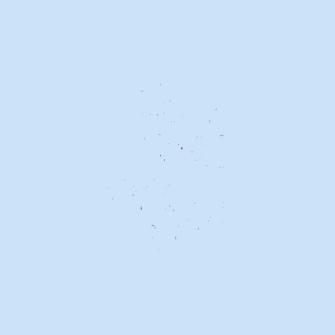 Cc1c(-c2cc(-n3c4ccccc4c4cc5ccccc5cc43)c3oc4ccccc4c3c2)nc(-c2ccc3ccccc3c2)nc1-c1cccc2oc3ccccc3c12